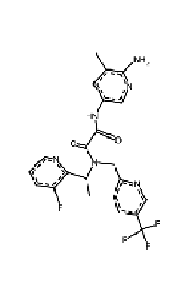 Cc1cc(NC(=O)C(=O)N(Cc2ccc(C(F)(F)F)cn2)C(C)c2ncccc2F)cnc1N